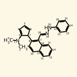 CN(C)C1=CC=CC1c1ccc2ccccc2c1C=NNc1ccccc1